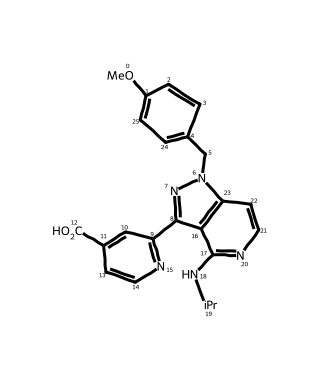 COc1ccc(Cn2nc(-c3cc(C(=O)O)ccn3)c3c(NC(C)C)nccc32)cc1